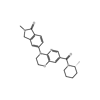 C[C@@H]1CCCCN1C(=O)c1cnc2c(c1)OCCN2c1ccc2c(c1)CN(C)C2=O